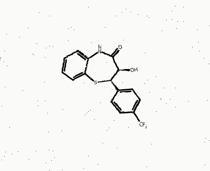 O=C1Nc2ccccc2S[C@H](c2ccc(C(F)(F)F)cc2)[C@@H]1O